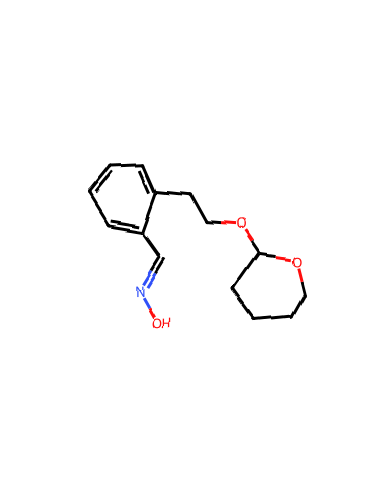 ON=Cc1ccccc1CCOC1CCCCO1